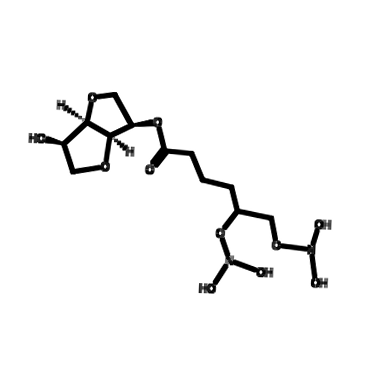 O=C(CCCC(CON(O)O)ON(O)O)O[C@@H]1CO[C@H]2[C@@H]1OC[C@H]2O